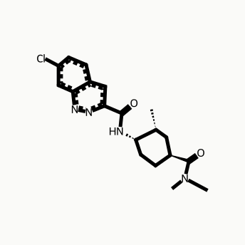 C[C@@H]1C[C@@H](C(=O)N(C)C)CC[C@@H]1NC(=O)c1cc2ccc(Cl)cc2nn1